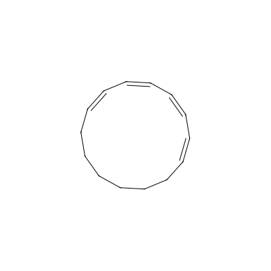 C1=CC=CCCCCCCC=CC=C1